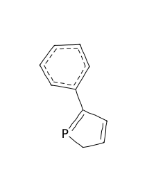 C1=CC(c2ccccc2)=PC1